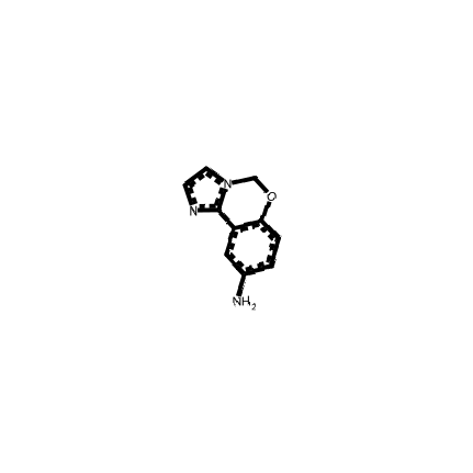 Nc1ccc2c(c1)-c1nccn1CO2